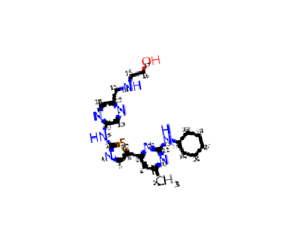 Cc1cc(-c2cnc(Nc3cnc(CNCCO)cn3)s2)nc(NC2CCCCC2)n1